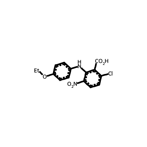 CCOc1ccc(Nc2c([N+](=O)[O-])ccc(Cl)c2C(=O)O)cc1